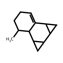 CC1CCC=C2C3CC3C3CC3C21